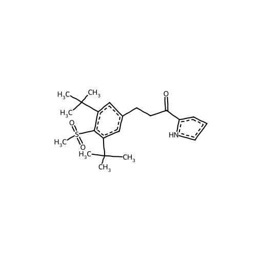 CC(C)(C)c1cc(CCC(=O)c2ccc[nH]2)cc(C(C)(C)C)c1S(C)(=O)=O